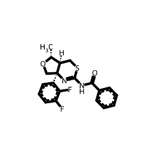 C[C@H]1OC[C@]2(c3cccc(F)c3F)N=C(NC(=O)c3ccccc3)SC[C@H]12